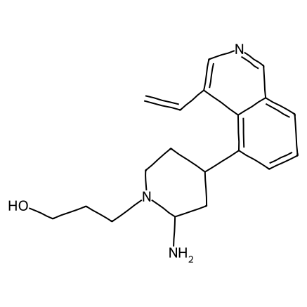 C=Cc1cncc2cccc(C3CCN(CCCO)C(N)C3)c12